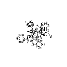 CC(C)C[C@H](NC(=O)[C@@H](CC(=O)N1CCOCC1)Cc1ccccc1)C(=O)N[C@@H](CC(C)C)[C@@H](O)c1nccs1